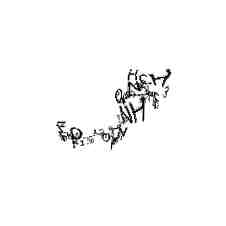 C[C@@H]1N[C@H](C(=O)NCc2cc(OCCOC(F)(F)F)c(F)cn2)C[C@H]1F